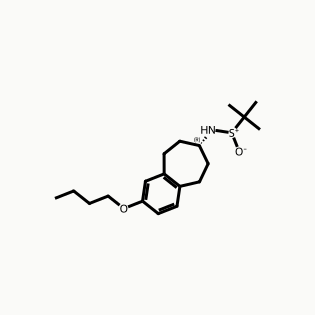 CCCCOc1ccc2c(c1)CC[C@H](N[S+]([O-])C(C)(C)C)CC2